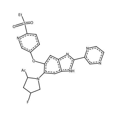 CCS(=O)(=O)c1ccc(Oc2cc3nc(-c4cnccn4)[nH]c3cc2N2CC(F)CC2C(C)=O)cn1